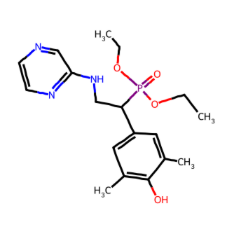 CCOP(=O)(OCC)C(CNc1cnccn1)c1cc(C)c(O)c(C)c1